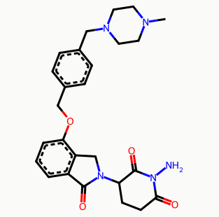 CN1CCN(Cc2ccc(COc3cccc4c3CN(C3CCC(=O)N(N)C3=O)C4=O)cc2)CC1